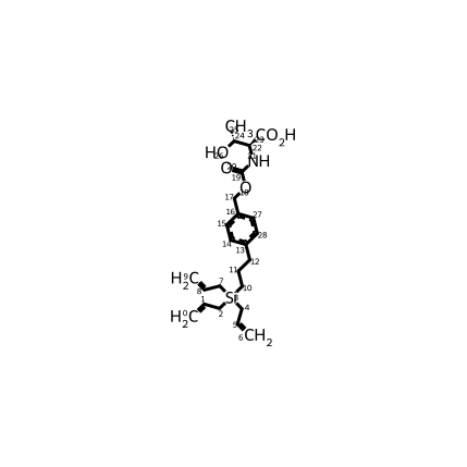 C=CC[Si](CC=C)(CC=C)CCCc1ccc(COC(=O)N[C@H](C(=O)O)[C@@H](C)O)cc1